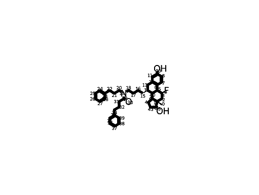 C[C@]12C[C@H](F)C3c4ccc(O)cc4C[C@@H](CCCCN(CCCc4ccccc4)C(=O)CCCc4ccccc4)C3C1CC[C@@H]2O